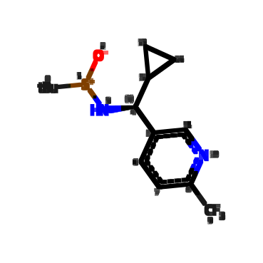 CC(C)(C)[S+]([O-])N[C@H](c1ccc(C(F)(F)F)nc1)C1CC1